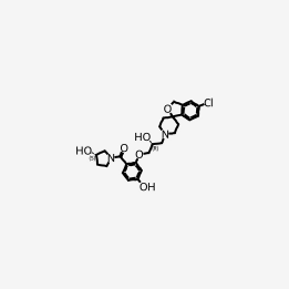 O=C(c1ccc(O)cc1OC[C@H](O)CN1CCC2(CC1)OCc1cc(Cl)ccc12)N1CC[C@H](O)C1